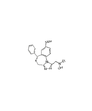 CCN(O)Cc1nnc2n1-c1ccc(SC)cc1C(c1ccccc1)=NC2